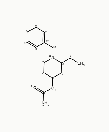 CCC1CC(OC(N)=O)CCN1CC1=C[C][C]C=C1